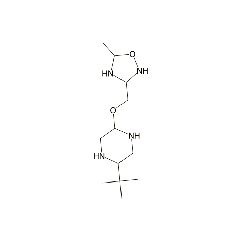 CC1NC(COC2CNC(C(C)(C)C)CN2)NO1